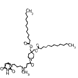 CCCCCCCCCCCC(=O)OCC1(COC(=O)CCCCCCCCCCC)CCN(C(=O)CCN(C)CCCn2ccc(=O)[nH]c2=O)CC1